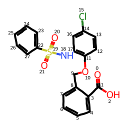 O=C(O)c1ccccc1COc1ccc(Cl)cc1NS(=O)(=O)c1ccccc1